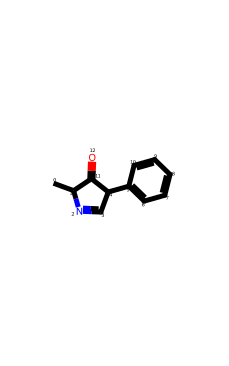 CC1N=CC(c2ccccc2)C1=O